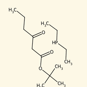 CCCC(=O)CC(=O)OC(C)(C)C.CCPCC